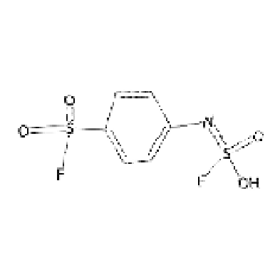 O=S(=O)(F)c1ccc(N=S(=O)(O)F)cc1